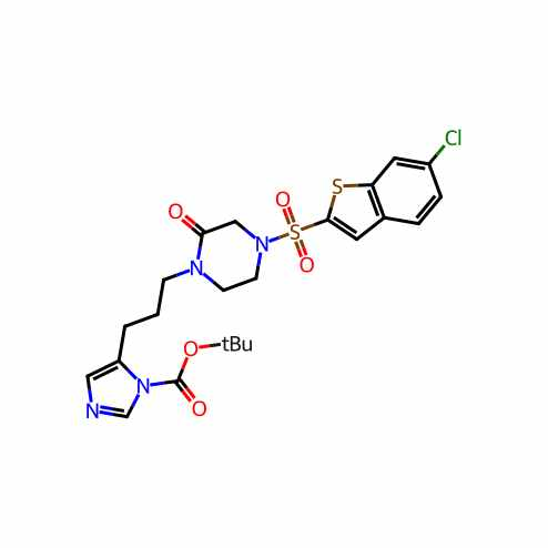 CC(C)(C)OC(=O)n1cncc1CCCN1CCN(S(=O)(=O)c2cc3ccc(Cl)cc3s2)CC1=O